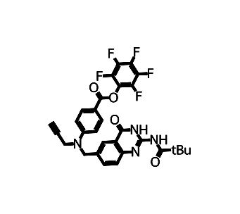 C#CCN(Cc1ccc2nc(NC(=O)C(C)(C)C)[nH]c(=O)c2c1)c1ccc(C(=O)Oc2c(F)c(F)c(F)c(F)c2F)cc1